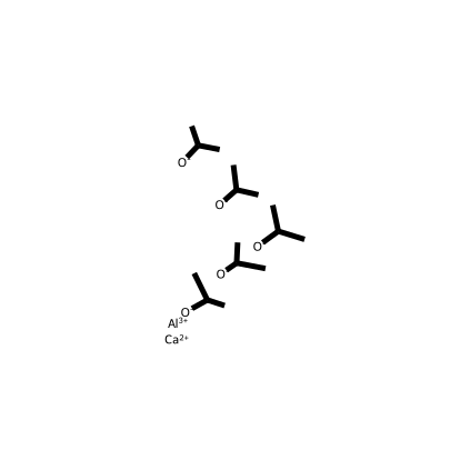 CC(C)[O-].CC(C)[O-].CC(C)[O-].CC(C)[O-].CC(C)[O-].[Al+3].[Ca+2]